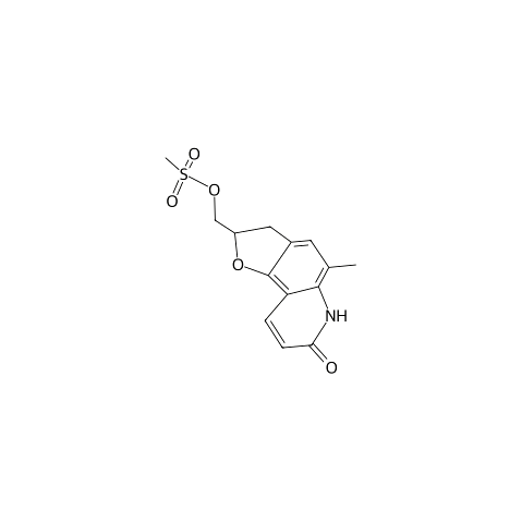 Cc1cc2c(c3ccc(=O)[nH]c13)OC(COS(C)(=O)=O)C2